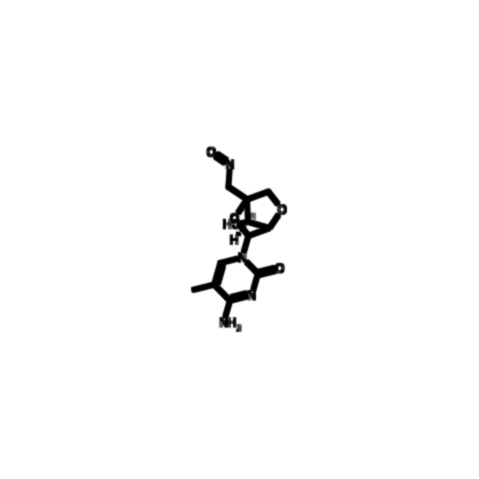 Cc1cn(C2OC3(CN=O)COC2[C@H]3O)c(=O)nc1N